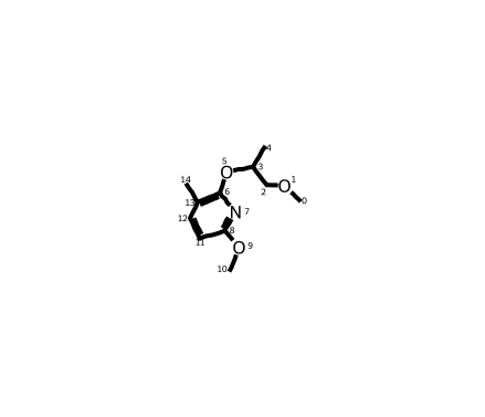 COCC(C)Oc1nc(OC)ccc1C